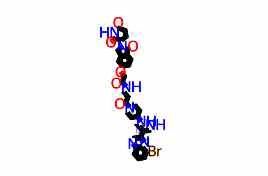 N=C/C(=C\NC1CCN(C(=O)CCNC(=O)COc2ccc3c(c2)CN(C2CCC(=O)NC2=O)C3=O)CC1)c1cnc2cccc(Br)c2n1